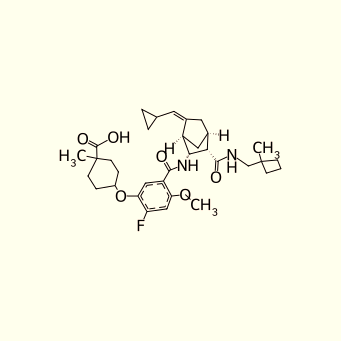 COc1cc(F)c(OC2CCC(C)(C(=O)O)CC2)cc1C(=O)N[C@H]1[C@@H](C(=O)NCC2(C)CCC2)[C@@H]2C/C(=C/C3CC3)[C@H]1C2